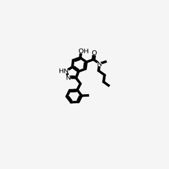 CCCCN(C)C(=O)c1cc2c(Cc3ccccc3C)n[nH]c2cc1O